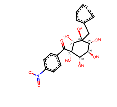 O=C(c1ccc([N+](=O)[O-])cc1)[C@@]1(O)[C@H](O)[C@](O)(Cc2ccccc2)[C@H](O)[C@@H](O)[C@@H]1O